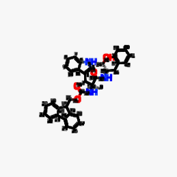 C[C@@](Cc1c[nH]c2ccccc12)(NC(=O)OCC1c2ccccc2-c2ccccc21)C(=O)N[C@H](CO)Cc1ccccc1